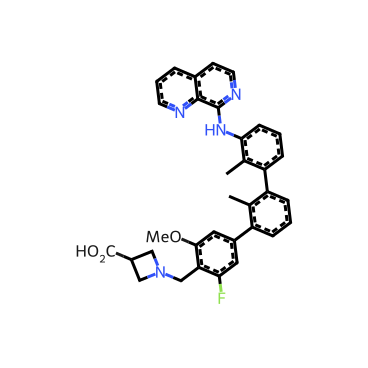 COc1cc(-c2cccc(-c3cccc(Nc4nccc5cccnc45)c3C)c2C)cc(F)c1CN1CC(C(=O)O)C1